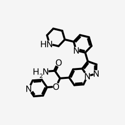 NC(=O)C(Oc1ccncc1)c1ccn2ncc(-c3cccc(C4CCCNC4)n3)c2c1